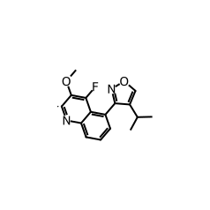 COc1[c]nc2cccc(-c3nocc3C(C)C)c2c1F